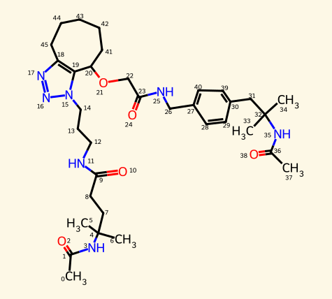 CC(=O)NC(C)(C)CCC(=O)NCCCn1nnc2c1C(OCC(=O)NCc1ccc(CC(C)(C)NC(C)=O)cc1)CCCCC2